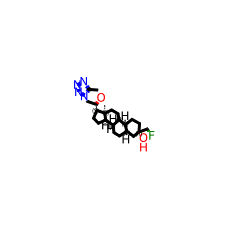 Cc1nnnn1CC(=O)[C@H]1CC[C@H]2[C@@H]3CC[C@@H]4C[C@@](O)(CF)CC[C@@H]4[C@H]3CC[C@]12C